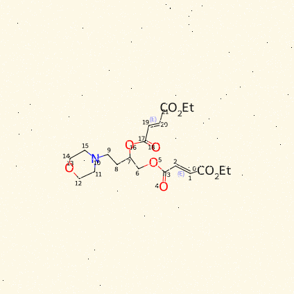 CCOC(=O)/C=C/C(=O)OCC(CCN1CCOCC1)OC(=O)/C=C/C(=O)OCC